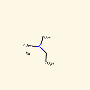 CCCCCCCCCCN(CCCCCCCCCC)CC(=O)O.[Ru]